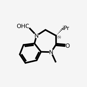 CC(C)[C@H]1CN(C=O)c2ccccc2N(C)C1=O